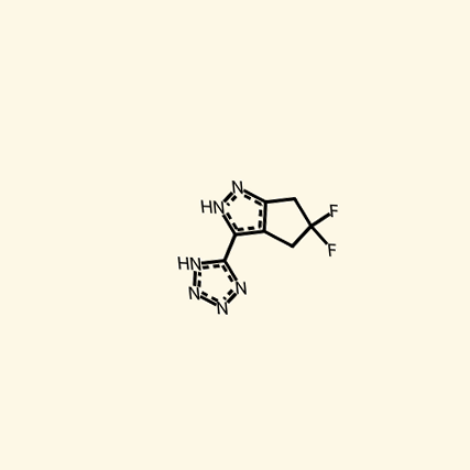 FC1(F)Cc2n[nH]c(-c3nnn[nH]3)c2C1